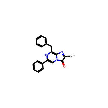 CCCc1nc2c(Cc3ccccc3)[nH]c(-c3ccccc3)cn-2c1=O